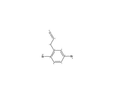 O=CCc1cc(Br)ccc1Br